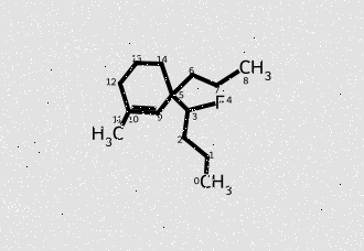 CCCC(F)C1(CCC)C=C(C)CCC1